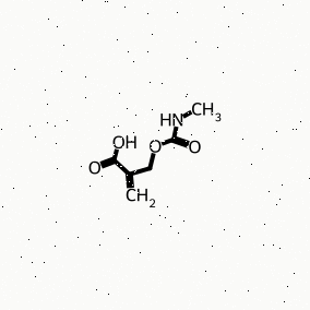 C=C(COC(=O)NC)C(=O)O